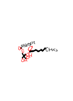 CCCCCCCC(=O)OCC(CO)(CO)COC(=O)CCCCCCC=O